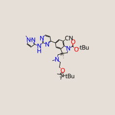 CN(CCO[Si](C)(C)C(C)(C)C)C[C@]1(C)CN(C(=O)OC(C)(C)C)c2c(C#N)cc(-c3ccnc(Nc4ccn(C)n4)n3)cc21